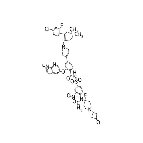 CN(c1ccc(S(=O)(=O)NC(=O)c2ccc(C3=CCN(CC4=C(c5ccc(Cl)cc5F)CC(C)(C)CC4)CC3)cc2Oc2cnc3[nH]ccc3c2)cc1[N+](=O)[O-])C1(F)CCN(C2CC(=O)C2)CC1